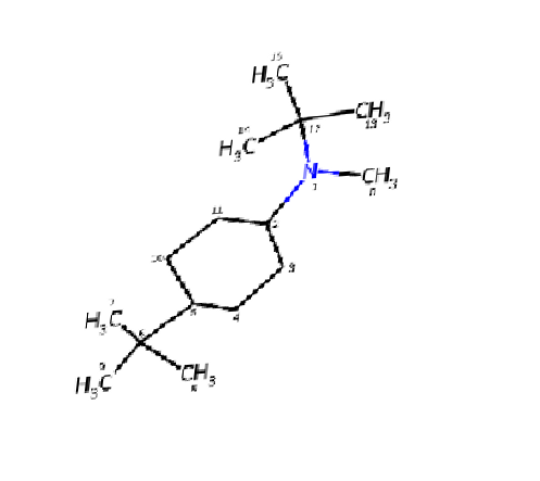 CN(C1CCC(C(C)(C)C)CC1)C(C)(C)C